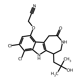 CC(C)(O)CC1CNC(=O)Cc2c1[nH]c1c(Cl)c(Cl)cc(OCC#N)c21